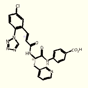 O=C(/C=C/c1cc(Cl)ccc1-n1cnnn1)N[C@@H](Cc1cccnc1)C(=O)Nc1ccc(C(=O)O)cc1